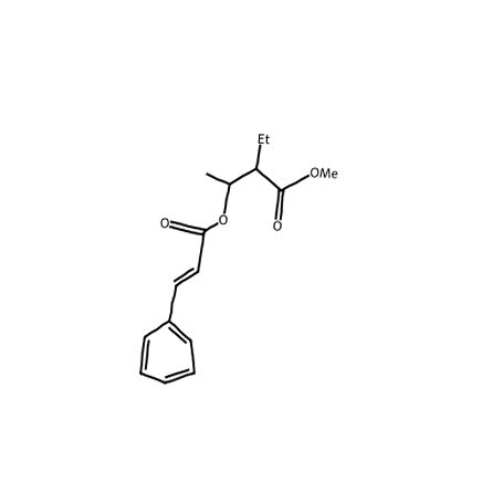 CCC(C(=O)OC)C(C)OC(=O)/C=C/c1ccccc1